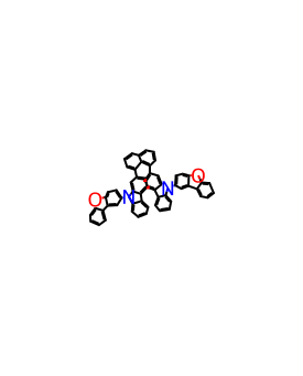 c1cc(-c2ccc3c4ccccc4n(-c4ccc5oc6ccccc6c5c4)c3c2)c2c(-c3ccc4c5ccccc5n(-c5ccc6oc7ccccc7c6c5)c4c3)cccc2c1